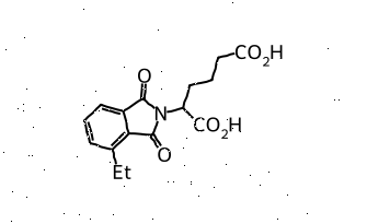 CCc1cccc2c1C(=O)N(C(CCCC(=O)O)C(=O)O)C2=O